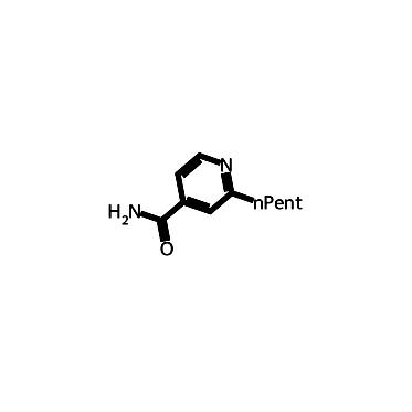 CCCCCc1cc(C(N)=O)ccn1